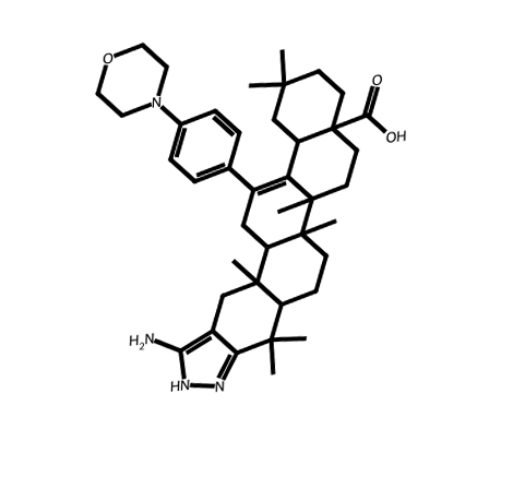 CC1(C)CCC2(C(=O)O)CCC3(C)C(=C(c4ccc(N5CCOCC5)cc4)CC4C5(C)Cc6c(n[nH]c6N)C(C)(C)C5CCC43C)C2C1